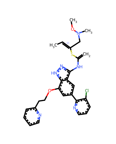 C=C(Nc1n[nH]c2c(OCCc3ccccn3)cc(-c3ncccc3Cl)cc12)S/C(=C\C)CN(C)OC